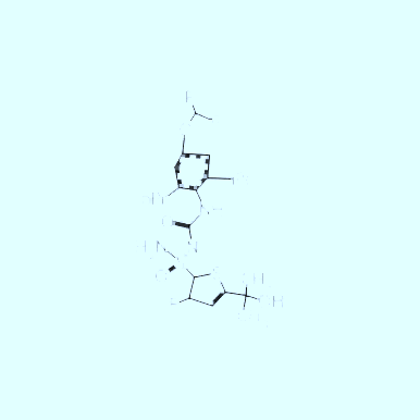 CCCc1cc(OC(F)F)cc(C(C)C)c1NC(=O)N=S(N)(=O)C1SC(C(C)(C)O)=CC1F